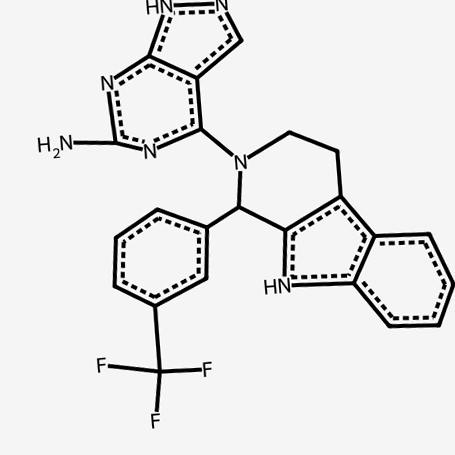 Nc1nc(N2CCc3c([nH]c4ccccc34)C2c2cccc(C(F)(F)F)c2)c2cn[nH]c2n1